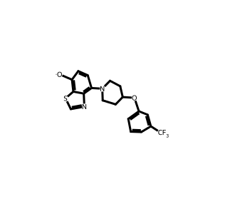 [O]c1ccc(N2CCC(Oc3cccc(C(F)(F)F)c3)CC2)c2ncsc12